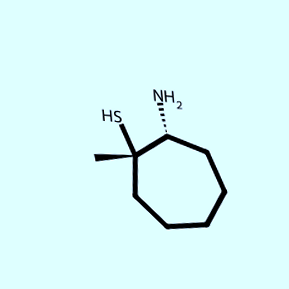 C[C@]1(S)CCCCC[C@H]1N